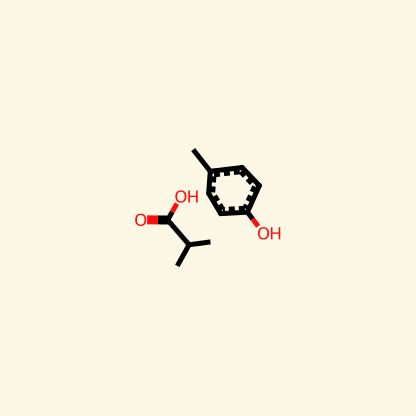 CC(C)C(=O)O.Cc1ccc(O)cc1